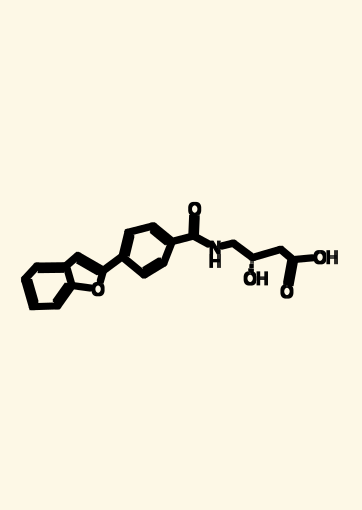 O=C(O)C[C@H](O)CNC(=O)c1ccc(-c2cc3ccccc3o2)cc1